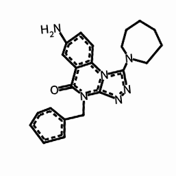 Nc1ccc2c(c1)c(=O)n(Cc1ccccc1)c1nnc(N3CCCCCC3)n21